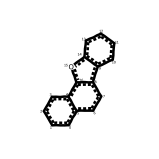 [c]1cccc2c1ccc1c3ccccc3oc21